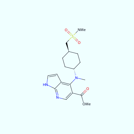 CNS(=O)(=O)C[C@H]1CC[C@H](N(C)c2c(C(=O)OC)cnc3[nH]ccc23)CC1